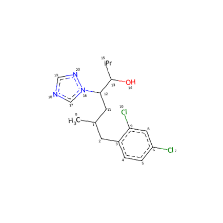 CC(Cc1ccc(Cl)cc1Cl)CC(C(O)C(C)C)n1cncn1